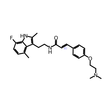 Cc1[nH]c2c(F)ccc(C)c2c1CCNC(=O)/C=C/c1ccc(OCCN(C)C)cc1